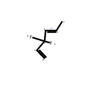 C=CC(F)(F)/C=C/C